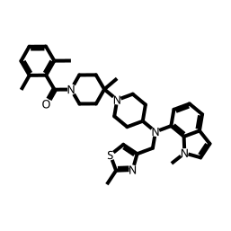 Cc1nc(CN(c2cccc3ccn(C)c23)C2CCN(C3(C)CCN(C(=O)c4c(C)cccc4C)CC3)CC2)cs1